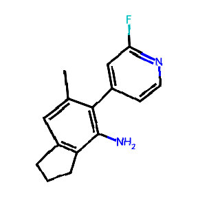 Cc1cc2c(c(N)c1-c1ccnc(F)c1)CCC2